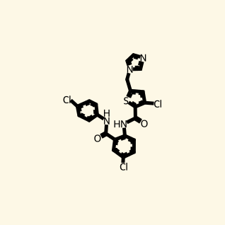 O=C(Nc1ccc(Cl)cc1)c1cc(Cl)ccc1NC(=O)c1sc(Cn2ccnc2)cc1Cl